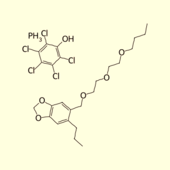 CCCCOCCOCCOCc1cc2c(cc1CCC)OCO2.Oc1c(Cl)c(Cl)c(Cl)c(Cl)c1Cl.P